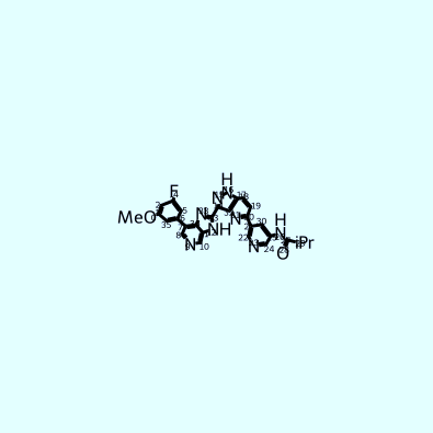 COc1cc(F)cc(-c2cncc3[nH]c(-c4n[nH]c5ccc(-c6cncc(NC(=O)C(C)C)c6)nc45)nc23)c1